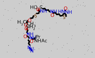 CC(=O)N[C@@H](C(=O)N[C@H](CCCCN=[N+]=[N-])C(=O)NCCO[SiH2]OC(C)(C)COCCCSCCC(=O)N[C@H](CCCCNC(=O)CCCCC1SCC2NC(=O)NC21)C(=O)O)C(C)C